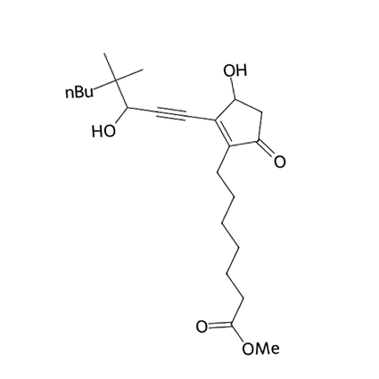 CCCCC(C)(C)C(O)C#CC1=C(CCCCCCC(=O)OC)C(=O)CC1O